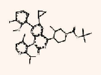 COc1c(F)cccc1-c1nc2c(cc1C1CC1)c(N1CCN(C(=O)OC(C)(C)C)C[C@@H]1C)nc(=O)n2-c1c(C)ccnc1C(C)C